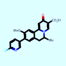 CCOC(=O)c1cn2c(cc1=O)-c1cc(OC)c(-c3ccc(F)nc3)cc1CC2C(C)(C)C